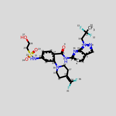 O=C(Nc1ccc2cnn(CC(F)(F)C(F)(F)F)c2n1)c1ccc(NS(=O)(=O)CCO)cc1N1CCC(=C(F)F)CC1